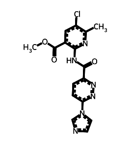 COC(=O)c1cc(Cl)c(C)nc1NC(=O)c1ccc(-n2ccnc2)nn1